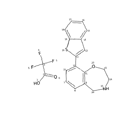 O=C(O)C(F)(F)F.c1cc2c(c(-c3cc4ccccc4s3)c1)OCCNC2